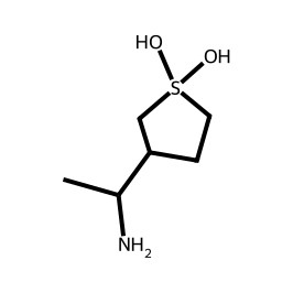 CC(N)C1CCS(O)(O)C1